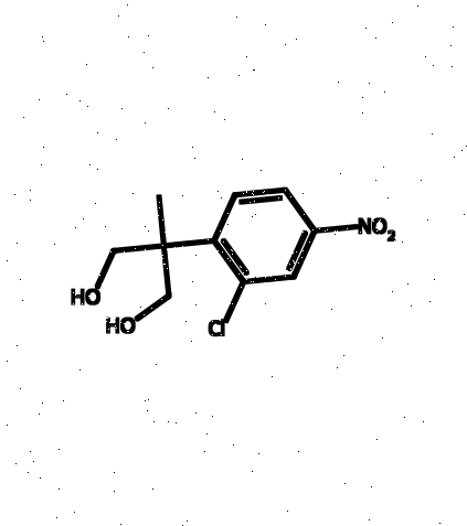 CC(CO)(CO)c1ccc([N+](=O)[O-])cc1Cl